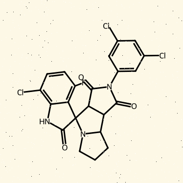 O=C1C2C3CCCN3C3(C(=O)Nc4c(Cl)ccc(F)c43)C2C(=O)N1c1cc(Cl)cc(Cl)c1